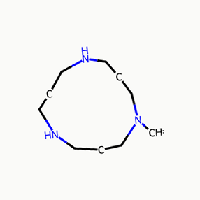 [CH]N1CCCNCCCNCCC1